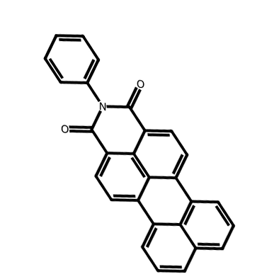 O=C1c2ccc3c4cccc5cccc(c6ccc(c2c36)C(=O)N1c1ccccc1)c54